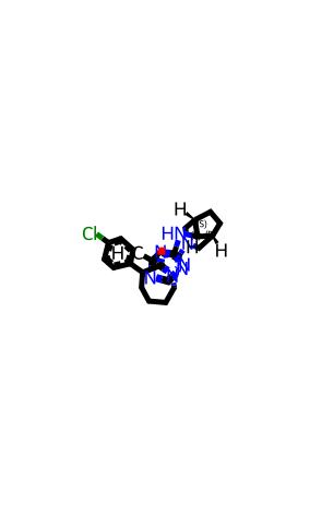 Cc1cc(N2C[C@H]3CC[C@@H](C2)[C@H]3Nc2nc3n(n2)CCCCC3c2ccc(Cl)cc2)ncn1